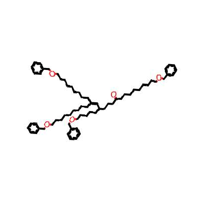 O=C(CCCCCCCCCOCc1ccccc1)CCCC(C=C(CCCCCCCCCOCc1ccccc1)CCCCCCCCCOCc1ccccc1)CCCCCOCc1ccccc1